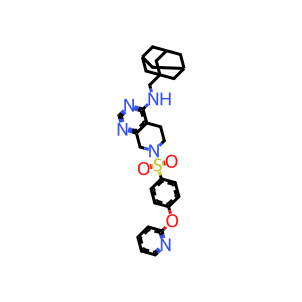 O=S(=O)(c1ccc(Oc2ccccn2)cc1)N1CCc2c(ncnc2NCC23CC4CC(CC(C4)C2)C3)C1